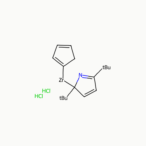 CC(C)(C)C1=N[C]([Zr][C]2=CC=CC2)(C(C)(C)C)C=C1.Cl.Cl